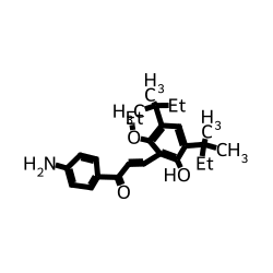 CCOc1c(C(C)(C)CC)cc(C(C)(C)CC)c(O)c1C=CC(=O)c1ccc(N)cc1